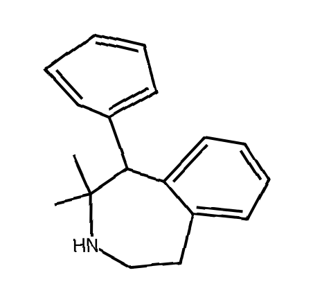 CC1(C)NCCc2ccccc2C1c1ccccc1